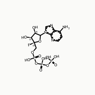 Nc1ccnc2c1ncn2C1O[C@](F)(COP(=O)(O)OP(=O)(O)OP(=O)(O)O)[C@@H](O)[C@H]1O